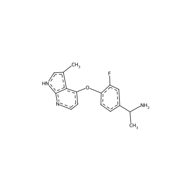 Cc1c[nH]c2nccc(Oc3ccc(C(C)N)cc3F)c12